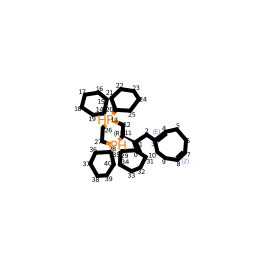 C=C(C/C1=C/CC/C=C\CC1)[C@@H]1C[PH](C2CCCCC2)(C2CCCCC2)CC[PH]1(C1CCCCC1)C1CCCCC1